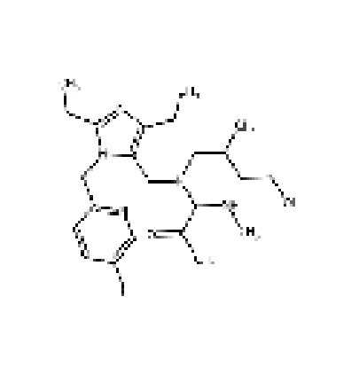 CCc1nc(CC)n(Cc2ccc(Cl)cn2)c1CN(CC(C)CCO)C(NC)C(C)=O